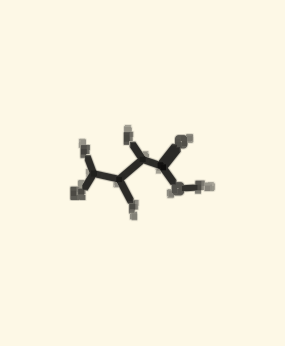 CCC(F)C(F)C(F)C(=O)OF